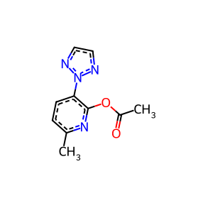 CC(=O)Oc1nc(C)ccc1-n1nccn1